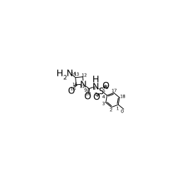 Cc1ccc(S(=O)(=O)NC(=O)N2CC(N)C2=O)cc1